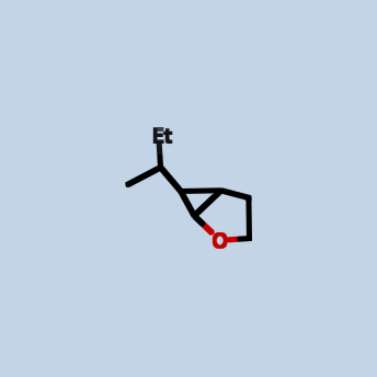 CCC(C)C1C2CCOC21